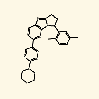 Cc1ccc(C)c(C2CCc3nc4ccc(-c5cnc(N6CCOCC6)nc5)nc4n32)c1